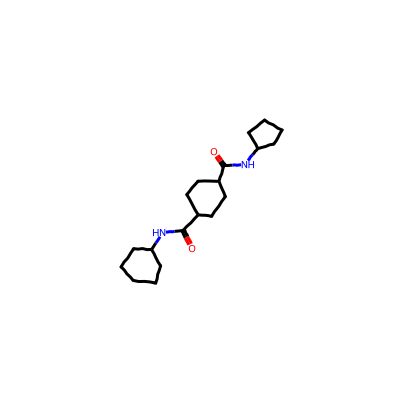 O=C(NC1CCCCC1)C1CCC(C(=O)NC2CCCC2)CC1